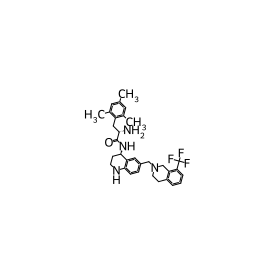 Cc1cc(C)c(C[C@H](N)C(=O)N[C@@H]2CCNc3ccc(CN4CCc5cccc(C(F)(F)F)c5C4)cc32)c(C)c1